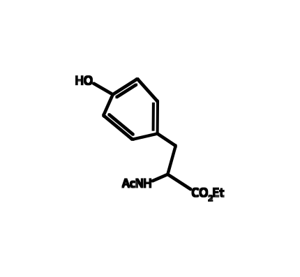 CCOC(=O)C(Cc1ccc(O)cc1)NC(C)=O